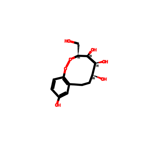 OC[C@H]1OOc2ccc(O)cc2CC[C@@H](O)[C@@H](O)[C@@H]1O